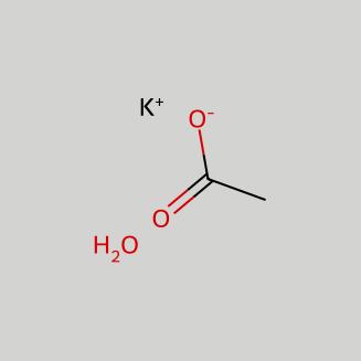 CC(=O)[O-].O.[K+]